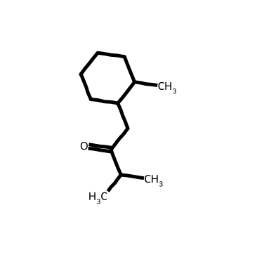 CC(C)C(=O)CC1CCCCC1C